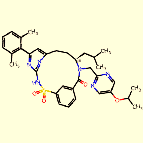 Cc1cccc(C)c1-c1cc2nc(n1)NS(=O)(=O)c1cccc(c1)C(=O)N(Cc1ncc(OC(C)C)cn1)[C@H](CC(C)C)CC2